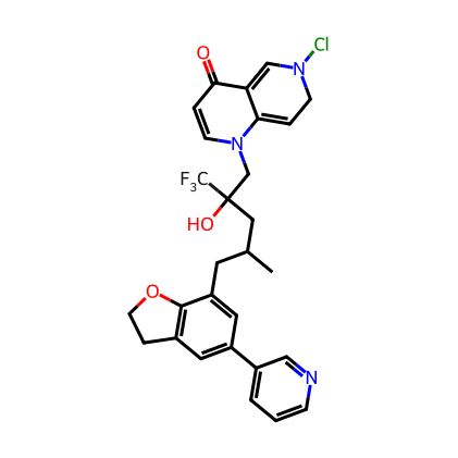 CC(Cc1cc(-c2cccnc2)cc2c1OCC2)CC(O)(Cn1ccc(=O)c2c1=CCN(Cl)C=2)C(F)(F)F